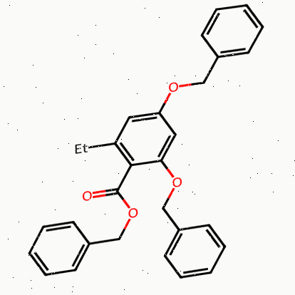 CCc1cc(OCc2ccccc2)cc(OCc2ccccc2)c1C(=O)OCc1ccccc1